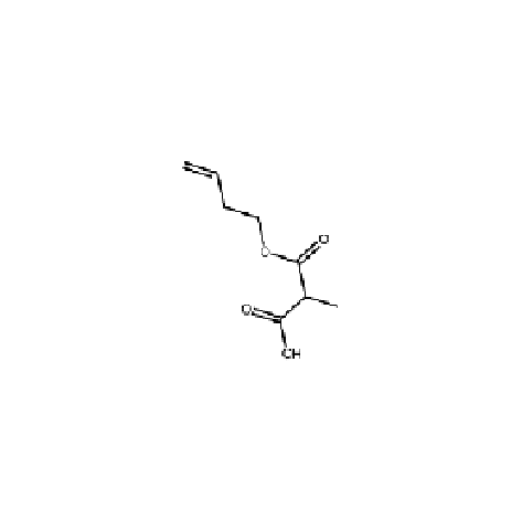 C=CCCOC(=O)C(C)C(=O)O